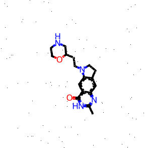 Cc1nc2cc3c(cc2c(=O)[nH]1)N(CCC1CNCCO1)CC3